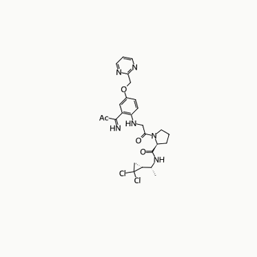 CC(=O)C(=N)c1cc(OCc2ncccn2)ccc1NCC(=O)N1CCC[C@H]1C(=O)N[C@H](C)[C@H]1CC1(Cl)Cl